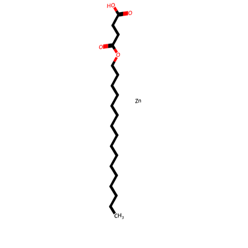 CCCCCCCCCCCCCCCCOC(=O)CCC(=O)O.[Zn]